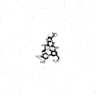 C[C@]1(N)CCN(c2cc(CN)cc(Nc3nc(NC4CC4)c4ncc(CN)n4n3)c2Cl)C[C@@H]1O